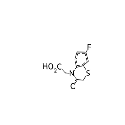 O=C(O)CN1C(=O)CSc2cc(F)ccc21